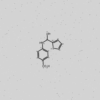 CCCC(Nc1ccc(C(=O)O)cc1)c1cccs1